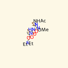 CCN(CC)CCOC(=O)C1=CCSC2C(NC(=O)/C(=N\OC)c3csc(NC(C)=O)n3)C(=O)N12